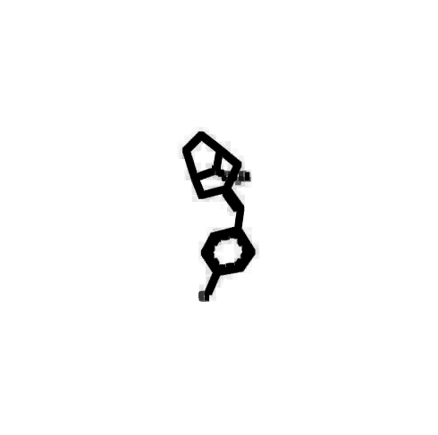 CCOC(=O)N1C2CCC1CC(=Cc1ccc(Cl)cc1)C2